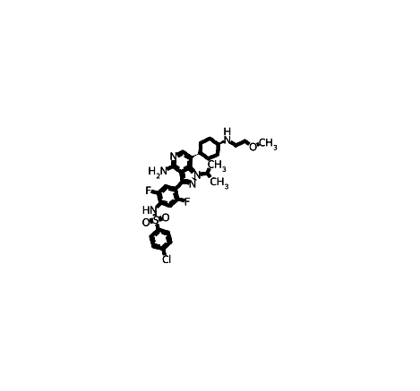 COCCN[C@H]1CC[C@H](c2cnc(N)c3c(-c4cc(F)c(NS(=O)(=O)c5ccc(Cl)cc5)cc4F)nn(C(C)C)c32)CC1